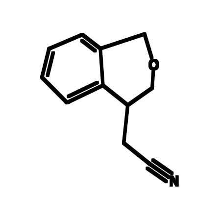 N#CCC1COCc2ccccc21